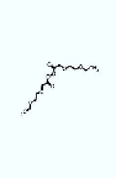 CCOCCOCC(=O)OOC(=O)COCCOCC